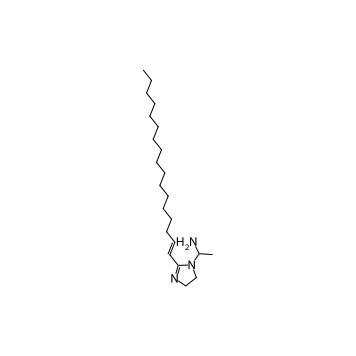 CCCCCCCCCCCCCCCC=CC1=NCCN1C(C)N